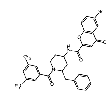 O=C(NC1CCN(C(=O)c2cc(C(F)(F)F)cc(C(F)(F)F)c2)C(Cc2ccccc2)C1)c1cc(=O)c2cc(Br)ccc2o1